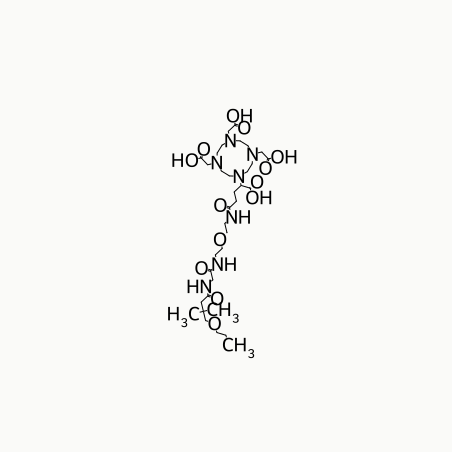 CCCOCC(C)(C)CC(=O)NCC(=O)NCCOCCNC(=O)CCC(C(=O)O)N1CCN(CC(=O)O)CCN(CC(=O)O)CCN(CC(=O)O)CC1